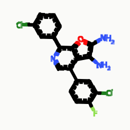 Nc1oc2c(-c3cccc(Cl)c3)ncc(-c3ccc(F)c(Cl)c3)c2c1N